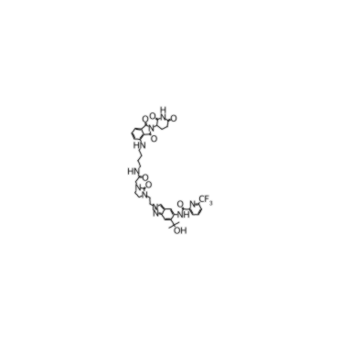 CC(C)(O)c1cc2nn(CCN3CCN(CC(=O)NCCCCNc4cccc5c4C(=O)N(C4CCC(=O)NC4=O)C5=O)C3=O)cc2cc1NC(=O)c1cccc(C(F)(F)F)n1